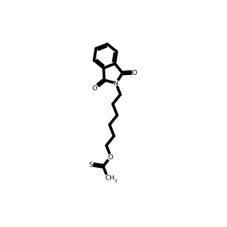 CC(=S)OCCCCCCN1C(=O)c2ccccc2C1=O